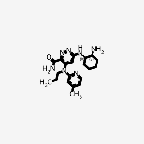 CCCN(c1cc(C)ccn1)c1cc(N[C@@H]2CCCC[C@@H]2N)nnc1C(N)=O